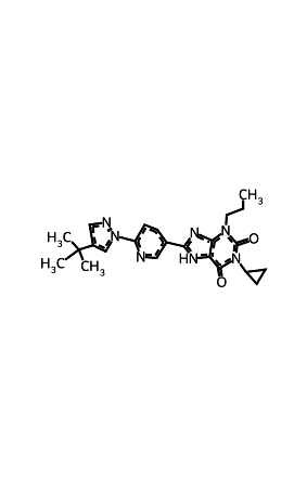 CCCn1c(=O)n(C2CC2)c(=O)c2[nH]c(-c3ccc(-n4cc(C(C)(C)C)cn4)nc3)nc21